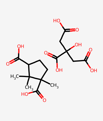 CC1(C(=O)O)CCC(C(=O)O)C1(C)C.O=C(O)CC(O)(CC(=O)O)C(=O)O